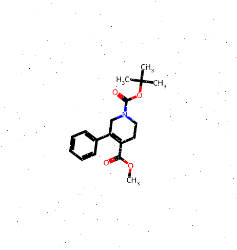 COC(=O)C1=C(c2ccccc2)CN(C(=O)OC(C)(C)C)CC1